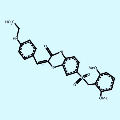 COc1cccc(OC)c1CS(=O)(=O)c1ccc2c(c1)S/C(=C/c1ccc(NCC(=O)O)cc1)C(=O)N2